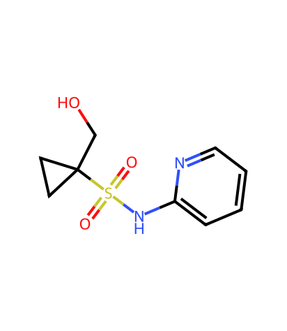 O=S(=O)(Nc1ccccn1)C1(CO)CC1